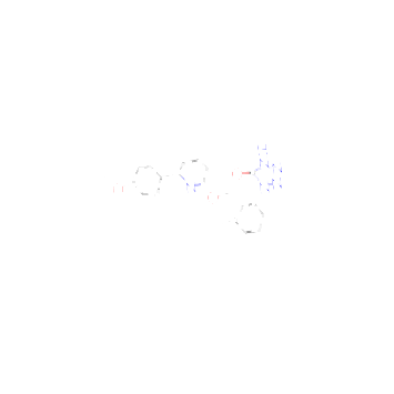 CCc1cccc(-n2nn[nH]c2=O)c1COc1cccc(-c2ccc(OC)cc2)n1